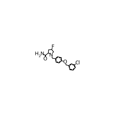 NC(=O)C1CC(F)CN1Cc1ccc(OCc2cccc(Cl)c2)cc1